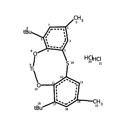 Cc1cc2c(c(C(C)(C)C)c1)[O][Ti][O]c1c(cc(C)cc1C(C)(C)C)S2.Cl.Cl